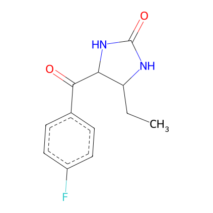 CCC1NC(=O)NC1C(=O)c1ccc(F)cc1